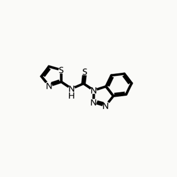 S=C(Nc1nccs1)n1nnc2ccccc21